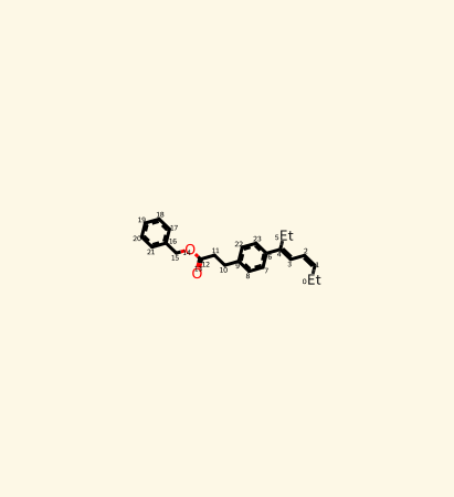 CC/C=C\C=C(/CC)c1ccc(CCC(=O)OCc2ccccc2)cc1